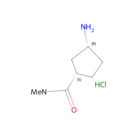 CNC(=O)[C@H]1CC[C@@H](N)C1.Cl